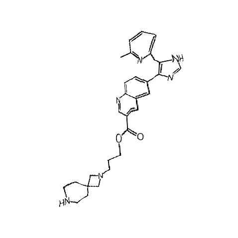 Cc1cccc(-c2[nH]cnc2-c2ccc3ncc(C(=O)OCCCN4CC5(CCNCC5)C4)cc3c2)n1